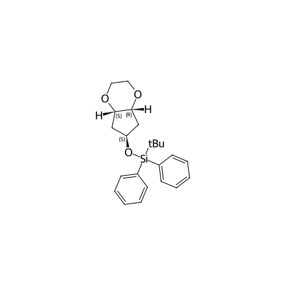 CC(C)(C)[Si](O[C@H]1C[C@@H]2OCCO[C@@H]2C1)(c1ccccc1)c1ccccc1